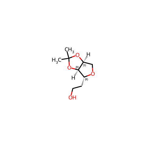 CC1(C)O[C@H]2[C@H](CO[C@@H]2CCO)O1